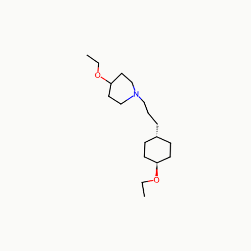 CCOC1CCN(CCC[C@H]2CC[C@H](OCC)CC2)CC1